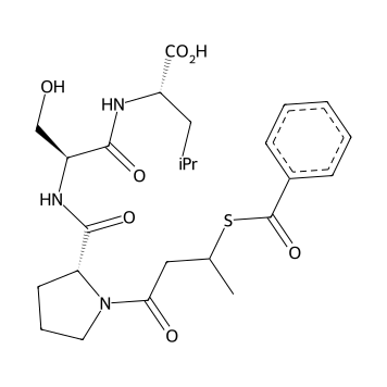 CC(C)C[C@H](NC(=O)[C@H](CO)NC(=O)[C@H]1CCCN1C(=O)CC(C)SC(=O)c1ccccc1)C(=O)O